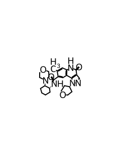 Cc1cc2[nH]c(=O)c3cnn(C4CCOCC4)c3c2cc1C(=O)N[C@@H]1CCCC[C@H]1N1CCOCC1